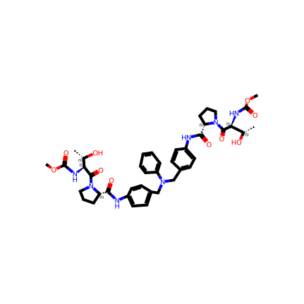 COC(=O)N[C@H](C(=O)N1CCC[C@H]1C(=O)Nc1ccc(CN(Cc2ccc(NC(=O)[C@@H]3CCCN3C(=O)[C@@H](NC(=O)OC)[C@H](C)O)cc2)c2ccccc2)cc1)[C@H](C)O